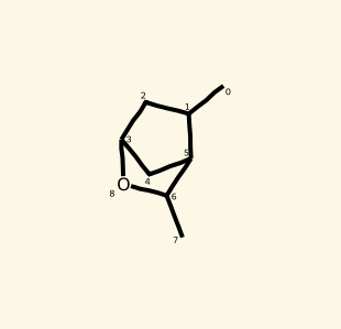 CC1CC2CC1C(C)O2